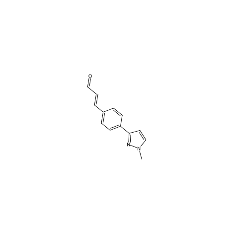 Cn1ccc(-c2ccc(C=CC=O)cc2)n1